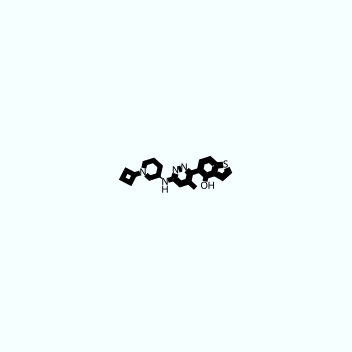 Cc1cc(N[C@H]2CCCN(C3CCC3)C2)nnc1-c1ccc2sccc2c1O